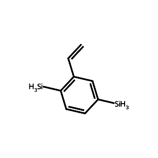 C=Cc1cc([SiH3])ccc1[SiH3]